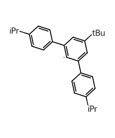 CC(C)c1ccc(-c2[c]c(-c3ccc(C(C)C)cc3)cc(C(C)(C)C)c2)cc1